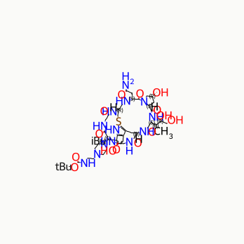 CC[C@H](C)[C@@H]1NC(=O)CNC(=O)[C@H]2Cc3c([nH]c4c(CN5CCN(CCNC(=O)OC(C)(C)C)CC5)c(O)ccc34)SC[C@@H](CN[C@@H](CC(N)=O)C(=O)N3C[C@H](O)C[C@H]3C(=O)N[C@@H]([C@@H](C)[C@@H](O)CO)C(=O)N2)NC(=O)CNC1=O